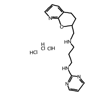 Cl.Cl.Cl.c1cnc(NCCCNCC2CCc3cccnc3O2)nc1